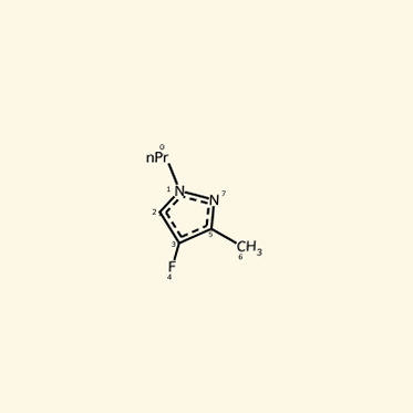 CCCn1[c]c(F)c(C)n1